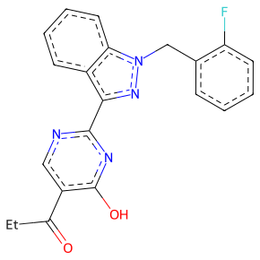 CCC(=O)c1cnc(-c2nn(Cc3ccccc3F)c3ccccc23)nc1O